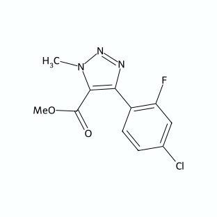 COC(=O)c1c(-c2ccc(Cl)cc2F)nnn1C